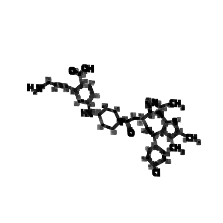 Cc1sc2c(c1C)C(c1ccc(Cl)cc1)=N[C@@H](CC(=O)N1CCC(Nc3ccc(C(=O)O)c(C#CCN)c3)CC1)c1nnc(C)n1-2